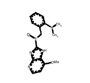 COc1ccnc2nc([S+]([O-])Cc3ccccc3N(C)C)[nH]c12